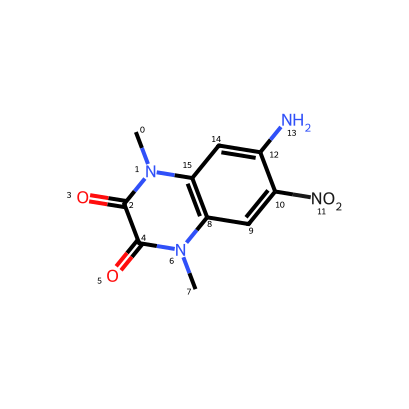 Cn1c(=O)c(=O)n(C)c2cc([N+](=O)[O-])c(N)cc21